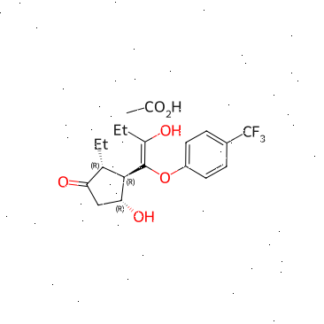 CC(=O)O.CCC(O)=C(Oc1ccc(C(F)(F)F)cc1)[C@H]1[C@H](O)CC(=O)[C@@H]1CC